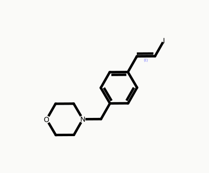 I/C=C/c1ccc(CN2CCOCC2)cc1